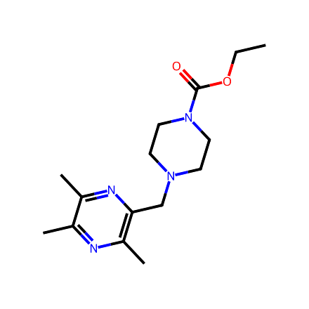 CCOC(=O)N1CCN(Cc2nc(C)c(C)nc2C)CC1